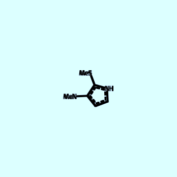 CNc1cc[nH]c1SC